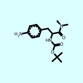 CN(C)C(=O)C(Cc1ccc(N)cc1)NC(=O)OC(C)(C)C